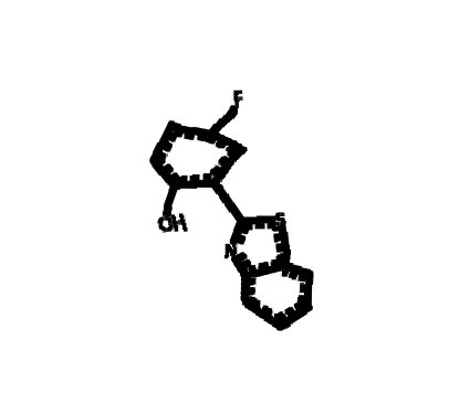 Oc1ccc(F)cc1-c1nc2ccccc2s1